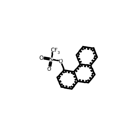 O=S(=O)(Oc1cccc2ccc3ccccc3c12)C(F)(F)F